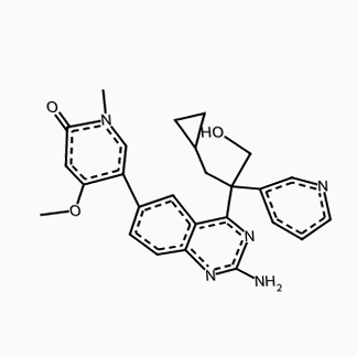 COc1cc(=O)n(C)cc1-c1ccc2nc(N)nc(C(CO)(CC3CC3)c3cccnc3)c2c1